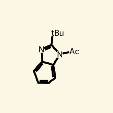 CC(=O)n1c(C(C)(C)C)nc2ccccc21